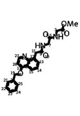 COC(=O)CNC(=O)CNC(=O)Cc1cccc2c(OCc3ccccc3)ccnc12